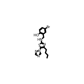 CCCCc1nc(NCc2cc(Br)ccc2O)sc1-n1cncn1